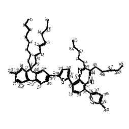 CCCCCCCCC1(CCCCCCCC)c2cc(C)ccc2-c2ccc(-c3ccc(-c4ccc(-c5ccc(C)s5)c5nc(CCCCC)c(CCCCC)nc45)s3)cc21